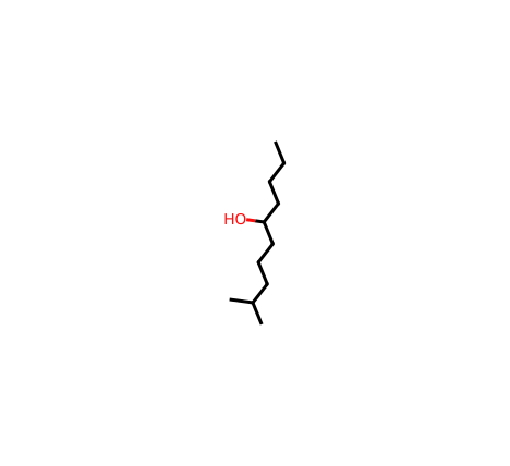 CCCCC(O)CCCC(C)C